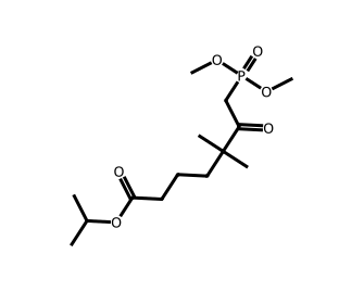 COP(=O)(CC(=O)C(C)(C)CCCC(=O)OC(C)C)OC